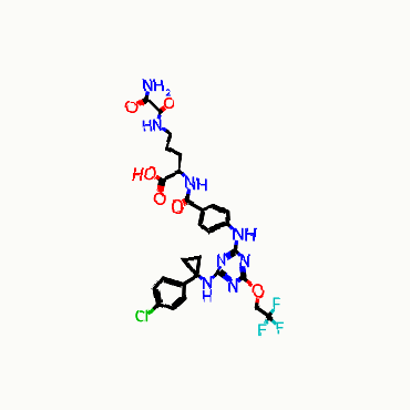 NC(=O)C(=O)NCCC[C@@H](NC(=O)c1ccc(Nc2nc(NC3(c4ccc(Cl)cc4)CC3)nc(OCC(F)(F)F)n2)cc1)C(=O)O